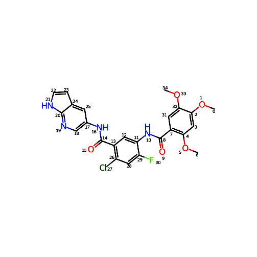 COc1cc(OC)c(C(=O)Nc2cc(C(=O)Nc3cnc4[nH]ccc4c3)c(Cl)cc2F)cc1OC